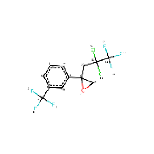 FC(F)(F)c1cccc(C2(CC(Cl)(Cl)C(F)(F)F)CO2)c1